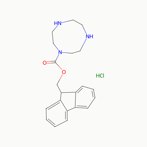 Cl.O=C(OCC1c2ccccc2-c2ccccc21)N1CCNCCNCC1